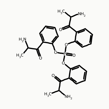 CC(N)C(=O)c1ccccc1OP(=O)(Oc1ccccc1C(=O)C(C)N)Oc1ccccc1C(=O)C(C)N